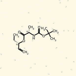 C=C[C@H](CC)OC(=O)[C@H](C)NC(=O)OC(C)(C)C